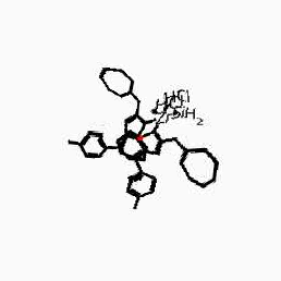 Cc1ccc(-c2cccc3c2C=C(CC2CCCCCC2)[CH]3[Zr]([CH3])([CH3])(=[SiH2])[CH]2C(CC3CCCCCC3)=Cc3c(-c4ccc(C)cc4)cccc32)cc1.Cl.Cl